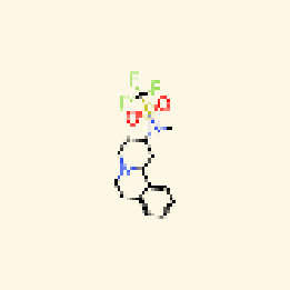 CN(C1CCN2CCc3ccccc3C2C1)S(=O)(=O)C(F)(F)F